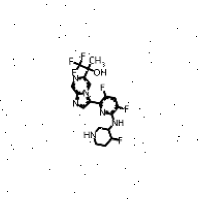 CC(O)(c1cn2c(-c3nc(NC4CNCCC4F)c(F)cc3F)cnc2cn1)C(F)(F)F